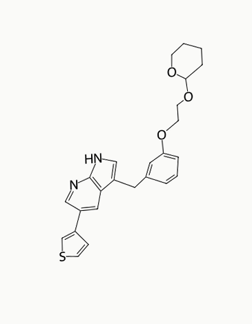 c1cc(Cc2c[nH]c3ncc(-c4ccsc4)cc23)cc(OCCOC2CCCCO2)c1